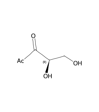 CC(=O)C(=O)[C@H](O)CO